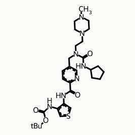 CN1CCN(CCN(Cc2ccc(C(=O)Nc3cscc3NC(=O)OC(C)(C)C)nc2)C(=O)NC2CCCC2)CC1